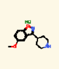 COc1ccc2onc(C3CCNCC3)c2c1.Cl